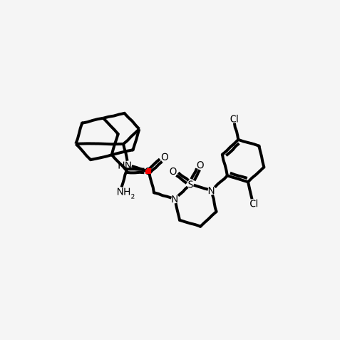 NC(=O)C12CC3CC(C1)C(NC(=O)CN1CCCN(C4=C(Cl)CCC(Cl)=C4)S1(=O)=O)C(C3)C2